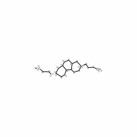 CCCC[C@H]1CCC2C(CCC3C[C@@H](CCCC)CCC32)C1